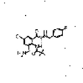 CC(C)(C)C(=O)Nc1c(CN)cc(Cl)cc1C(=O)NNCc1ccc(F)cc1